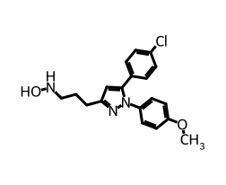 COc1ccc(-n2nc(CCCNO)cc2-c2ccc(Cl)cc2)cc1